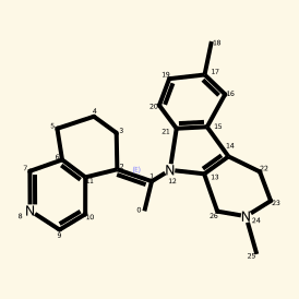 C/C(=C1/CCCc2cnccc21)n1c2c(c3cc(C)ccc31)CCN(C)C2